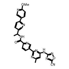 COc1ccc(-c2ccc(C(C)NC(=O)c3ccc(-c4nc(C)cc(Nc5noc(C#N)n5)n4)cn3)cn2)cn1